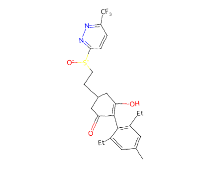 CCc1cc(C)cc(CC)c1C1=C(O)CC(CC[S+]([O-])c2ccc(C(F)(F)F)nn2)CC1=O